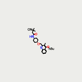 CCCCOc1c(C)c(CO[C@H]2CC[C@H](NC(=O)CC(C)(C)N=O)CC2)nc2ccccc12